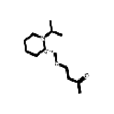 CC(=O)CCOC[C@@H]1CCCCN1C(C)C